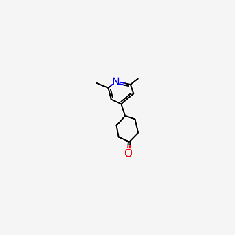 Cc1cc(C2CCC(=O)CC2)cc(C)n1